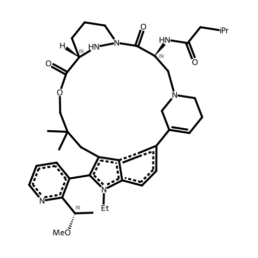 CCn1c(-c2cccnc2[C@H](C)OC)c2c3cc(ccc31)C1=CCCN(C1)C[C@H](NC(=O)CC(C)C)C(=O)N1CCC[C@H](N1)C(=O)OCC(C)(C)C2